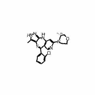 Cc1[nH]nc2c1N=C(c1ccccc1Cl)c1cnc(N3CCOC[C@H]3C)cc1N2